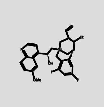 C=CC1C[N+](Cc2c(F)cc(F)cc2F)(C[C@H](O)c2ccnc3ccc(OC)cc23)CCC1CC